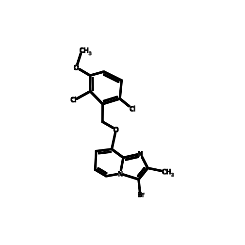 COc1ccc(Cl)c(COc2cccn3c(Br)c(C)nc23)c1Cl